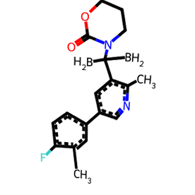 BC(B)(c1cc(-c2ccc(F)c(C)c2)cnc1C)N1CCCOC1=O